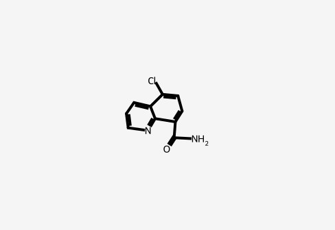 NC(=O)c1ccc(Cl)c2cccnc12